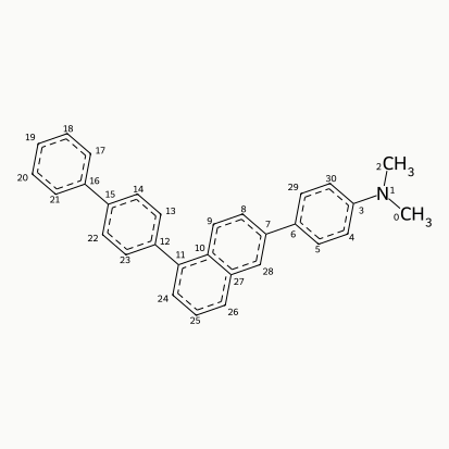 CN(C)c1ccc(-c2ccc3c(-c4ccc(-c5ccccc5)cc4)cccc3c2)cc1